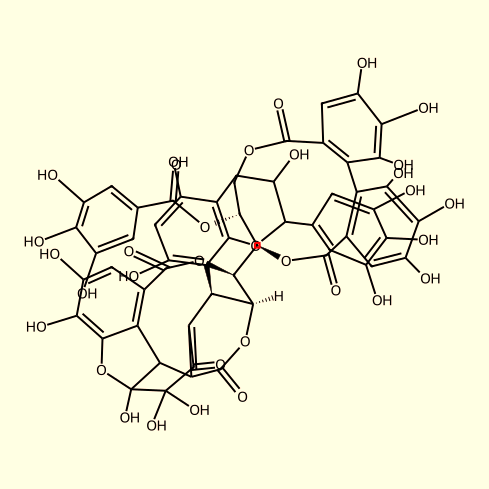 O=C1O[C@@H]2[C@H]([C@@H]3OC(=O)c4cc(O)c(O)c(O)c4-c4c(cc(O)c(O)c4O)C(=O)OC[C@H]3OC(=O)c3cc(O)c(O)c(O)c3)OC(=O)c3cc(O)c(O)c4c3C3C1=C(C(=O)C(O)(O)C3(O)O4)[C@H]2c1c(O)cc(O)c2c1OC(c1cc(O)c(O)c(O)c1)C(O)C2